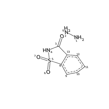 NN.O=C1NS(=O)(=O)c2ccccc21